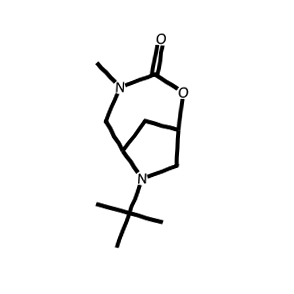 CN1CC2CC(CN2C(C)(C)C)OC1=O